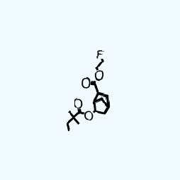 CCC(C)(C)C(=O)OC1CC2CC(C(=O)OCCF)C1C2